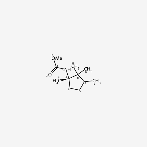 COC(=O)N[C@@]1(C)CCC(C)C1(C)C